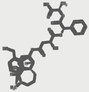 C[C@H](OC(=O)[C@@H](OC(=O)[C@@H](O)CC(=O)OC1=CC[C@@]2(O)[C@H]3Cc4ccc(CO)c5c4[C@@]2(CCCN3C)[C@H]1O5)c1ccccc1)C(=O)O